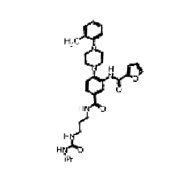 Cc1ccccc1N1CCN(c2ccc(C(=O)NCCCNC(=O)NC(C)C)cc2NC(=O)c2ccco2)CC1